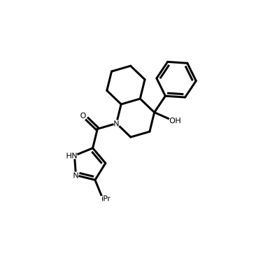 CC(C)c1cc(C(=O)N2CCC(O)(c3ccccc3)C3CCCCC32)[nH]n1